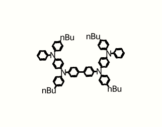 CCCCc1ccc(N(c2ccccc2)c2ccc(N(c3ccc(CCCC)cc3)c3ccc(-c4ccc(N(c5ccc(CCCC)cc5)c5ccc(N(c6ccccc6)c6ccc(CCCC)cc6)cc5)cc4)cc3)cc2)cc1